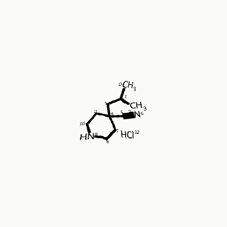 CC(C)CC1(C#N)CCNCC1.Cl